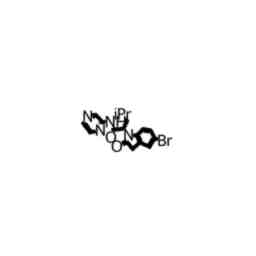 CC(C)CC(C(=O)Nc1cnccn1)N1C(=O)Cc2cc(Br)ccc21